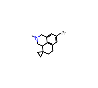 CC(C)c1cc2c3c(c1)CN(C)CC3C1(CC2)CC1